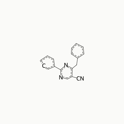 N#Cc1cnc(-c2ccccc2)nc1Cc1ccccc1